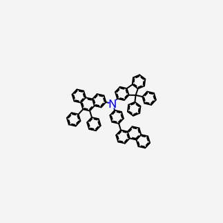 c1ccc(-c2c(-c3ccccc3)c3cc(N(c4ccc(-c5cccc6c5ccc5ccccc56)cc4)c4ccc5c(c4)C(c4ccccc4)(c4ccccc4)c4ccccc4-5)ccc3c3ccccc23)cc1